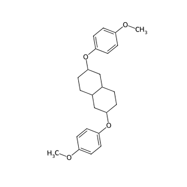 COc1ccc(OC2CCC3CC(Oc4ccc(OC)cc4)CCC3C2)cc1